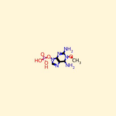 CON1C(N)=Nc2c(ncn2OP(=O)(O)O)C1N